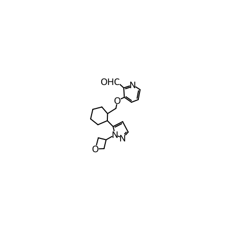 O=Cc1ncccc1OCC1CCCCC1c1ccnn1C1COC1